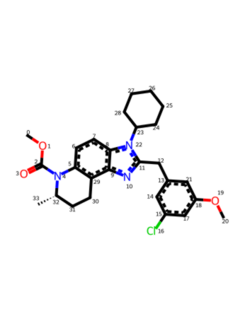 COC(=O)N1c2ccc3c(nc(Cc4cc(Cl)cc(OC)c4)n3C3CCCCC3)c2CC[C@@H]1C